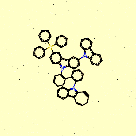 C1#Cc2c(c3ccccc3n2-c2ccccc2C2=C(n3c4ccc(-n5c6ccccc6c6ccccc65)cc4c4cc(S(c5ccccc5)(c5ccccc5)c5ccccc5)ccc43)C=CCC2)C=CC1